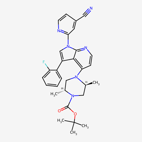 C[C@@H]1CN(c2ccnc3c2c(-c2ccccc2F)cn3-c2cc(C#N)ccn2)[C@@H](C)CN1C(=O)OC(C)(C)C